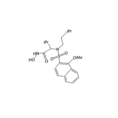 COc1c(S(=O)(=O)N(CCC(C)C)C(C(=O)NO)C(C)C)ccc2ccccc12